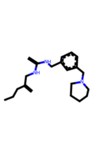 C=C(CCC)CNC(=C)NCc1cccc(CN2CCCCC2)c1